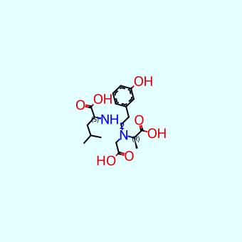 CC(C)C[C@H](N)C(=O)O.C[C@H](C(=O)O)N(CCc1cccc(O)c1)CC(=O)O